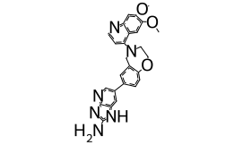 COc1cc2nccc(N3CCOc4ccc(-c5cnc6nc(N)[nH]c6c5)cc4C3)c2cc1OC